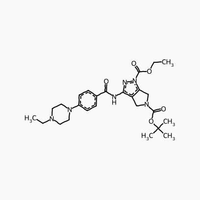 CCOC(=O)n1nc(NC(=O)c2ccc(N3CCN(CC)CC3)cc2)c2c1CN(C(=O)OC(C)(C)C)C2